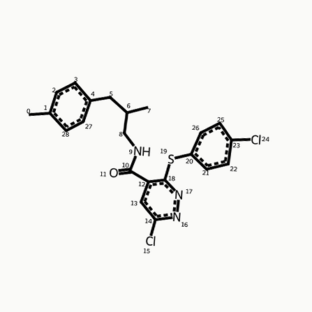 Cc1ccc(CC(C)CNC(=O)c2cc(Cl)nnc2Sc2ccc(Cl)cc2)cc1